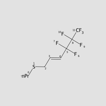 CC[CH]SC/C=C/C(F)(F)C(F)(F)C(F)(F)F